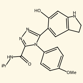 COc1ccc(-n2c(C(=O)NC(C)C)nnc2-c2cc3c(cc2O)NCC3)cc1